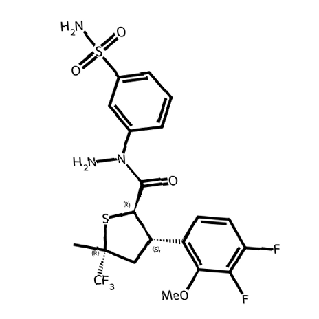 COc1c([C@@H]2C[C@](C)(C(F)(F)F)S[C@H]2C(=O)N(N)c2cccc(S(N)(=O)=O)c2)ccc(F)c1F